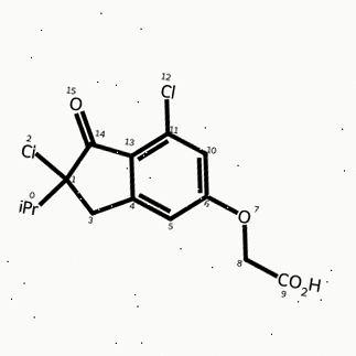 CC(C)C1(Cl)Cc2cc(OCC(=O)O)cc(Cl)c2C1=O